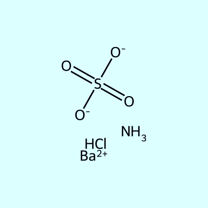 Cl.N.O=S(=O)([O-])[O-].[Ba+2]